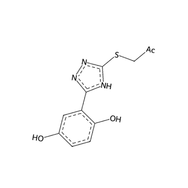 CC(=O)CSc1nnc(-c2cc(O)ccc2O)[nH]1